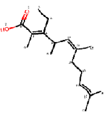 CCC(=C(C)C(=O)O)C(C)C=C(C)CCC=C(C)C